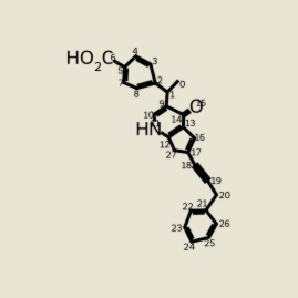 CC(c1ccc(C(=O)O)cc1)c1c[nH]c2c(c1=O)C=C(C#CCc1ccccc1)C2